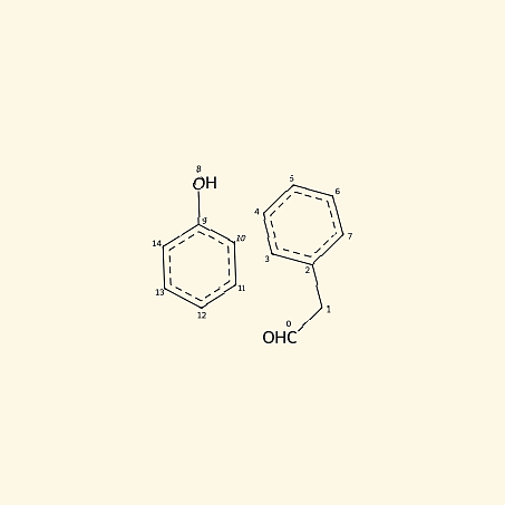 O=CCc1ccccc1.Oc1ccccc1